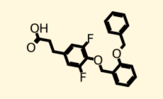 O=C(O)CCc1cc(F)c(OCc2ccccc2OCc2ccccc2)c(F)c1